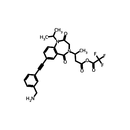 CC(CC(=O)OC(=O)C(F)(F)F)N1CC(=O)N(C(C)C)c2ccc(C#Cc3cccc(CN)c3)cc2C1=O